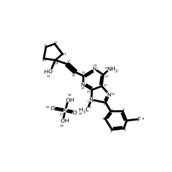 Cn1c(-c2cccc(F)c2)nc2c(N)nc(C#CC3(O)CCCC3)nc21.O=S(=O)(O)O